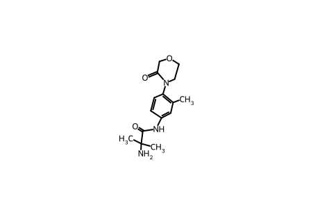 Cc1cc(NC(=O)C(C)(C)N)ccc1N1CCOCC1=O